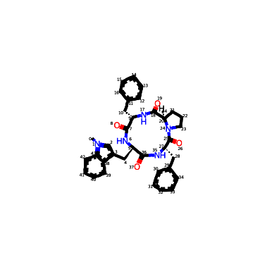 Cn1cc(C[C@H]2NC(=O)[C@H](Cc3ccccc3)NC(=O)[C@H]3CCCN3C(=O)[C@H](Cc3ccccc3)NC2=O)c2ccccc21